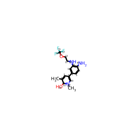 CC1=CC(c2ccc(N)c(NCCOC(F)(F)F)c2)=CN(C)C1O